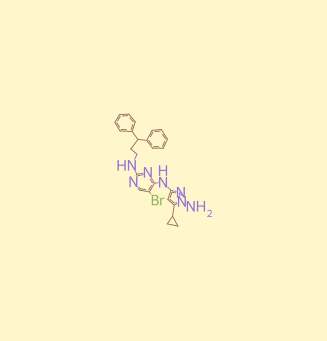 Nn1nc(Nc2nc(NCCC(c3ccccc3)c3ccccc3)ncc2Br)cc1C1CC1